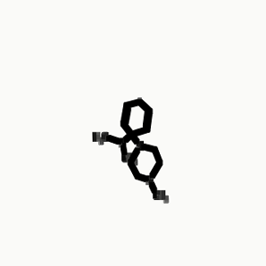 CN1CCN(C2(N(C)C)C=C[CH]C=C2)CC1